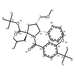 COC[C@H]1C[C@@](CC(C)C)(C(=O)OC(C)(C)C)N(C(=O)c2ccc(C(C)(C)C)c(OC)c2)[C@H]1c1ccccn1